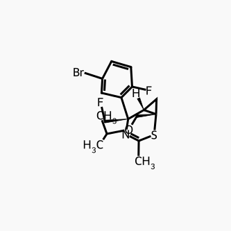 CC1=N[C@](CF)(c2cc(Br)ccc2F)[C@@H]2C[C@]2(COC(C)C)S1